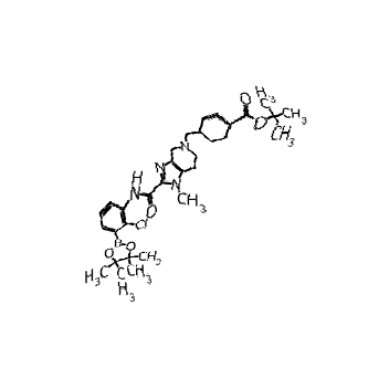 Cn1c(C(=O)Nc2cccc(B3OC(C)(C)C(C)(C)O3)c2Cl)nc2c1CCN(CC1CCC(C(=O)OC(C)(C)C)CC1)C2